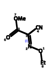 CCO/N=C(\C#N)C(=O)OC